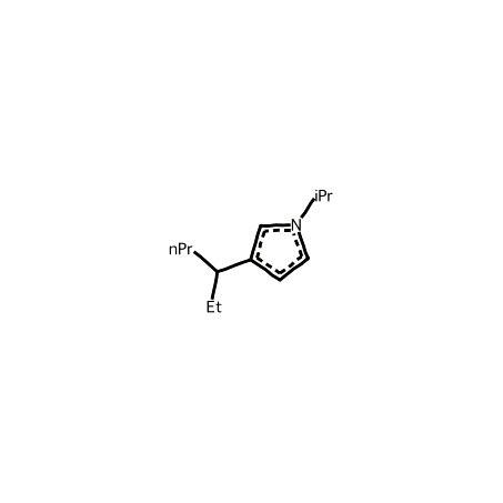 CCCC(CC)c1ccn(C(C)C)c1